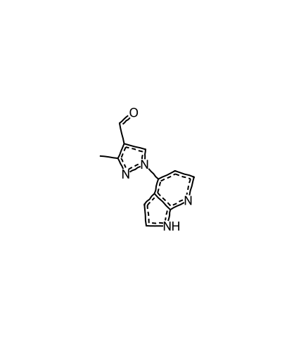 Cc1nn(-c2ccnc3[nH]ccc23)cc1C=O